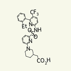 CCc1ccccc1-c1nc(NS(=O)(=O)c2cccc(N3CCCC(CC(=O)O)C3)n2)ccc1C(F)(F)F